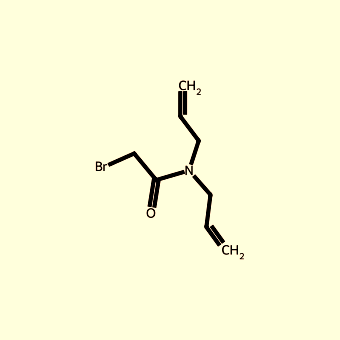 C=CCN(CC=C)C(=O)CBr